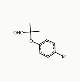 CC(C)(C=O)Oc1ccc(Br)cc1